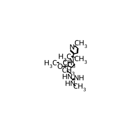 CCOC(C)(C)[C@]1(CCNC(=N)NC)CCN(C(C)(C)c2ccc(C)nc2)C1